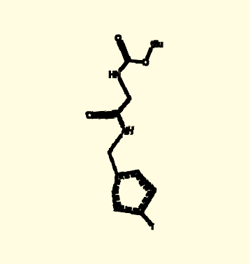 CC(C)(C)OC(=O)NCC(=O)NCc1ccc(I)cc1